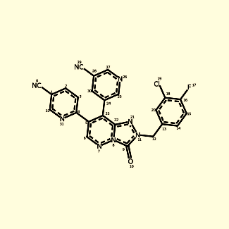 N#Cc1ccc(-c2cnn3c(=O)n(Cc4ccc(F)c(Cl)c4)nc3c2-c2cncc(C#N)c2)nc1